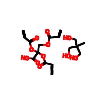 C=CC(=O)OCC(OC(=O)C=C)(OC(=O)C=C)C(=O)O.CC(CO)(CO)CO